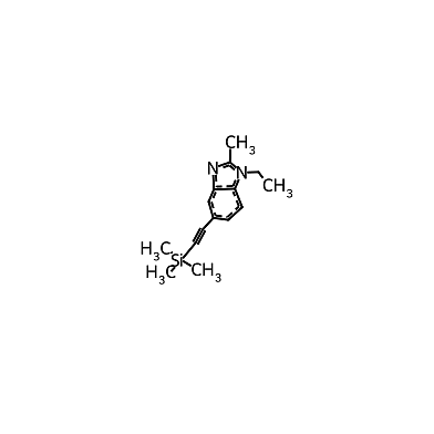 CCn1c(C)nc2cc(C#C[Si](C)(C)C)ccc21